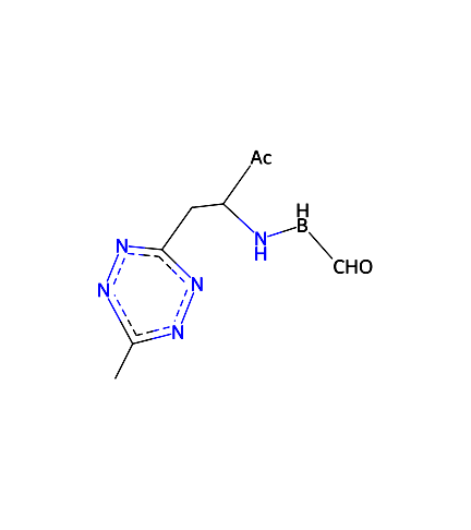 CC(=O)C(Cc1nnc(C)nn1)NBC=O